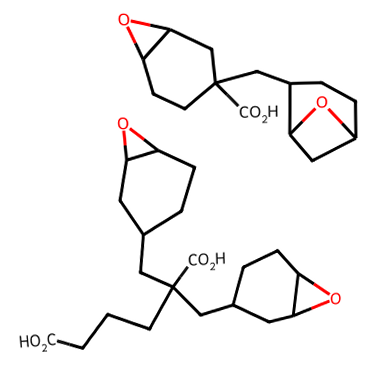 O=C(O)C1(CC2CCC3CC2O3)CCC2OC2C1.O=C(O)CCCC(CC1CCC2OC2C1)(CC1CCC2OC2C1)C(=O)O